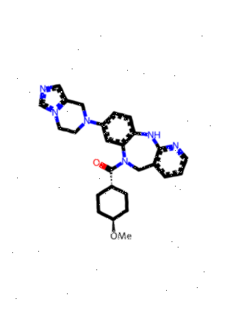 CO[C@H]1CC[C@H](C(=O)N2Cc3cccnc3Nc3ccc(N4CCn5cncc5C4)cc32)CC1